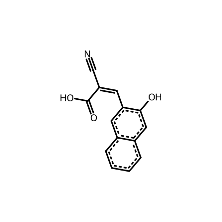 N#C/C(=C/c1cc2ccccc2cc1O)C(=O)O